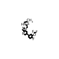 CC1=CNC(Cn2ncc3ncc(-c4ccc(F)c(OC(F)F)c4)cc32)S1